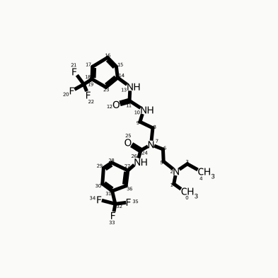 CCN(CC)CCN(CCNC(=O)Nc1cccc(C(F)(F)F)c1)C(=O)Nc1cccc(C(F)(F)F)c1